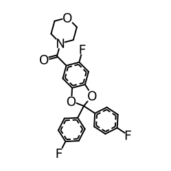 O=C(c1cc2c(cc1F)OC(c1ccc(F)cc1)(c1ccc(F)cc1)O2)N1CCOCC1